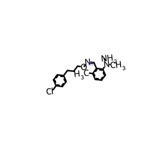 Cc1cccc(N(C)N)c1/C=N\OCCCc1ccc(Cl)cc1